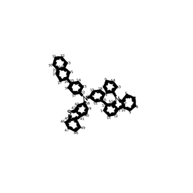 c1ccc(-n2c3ccccc3c3cccc(-c4cccc(N(c5ccc(-c6ccc7ccccc7c6)cc5)c5ccc6c(c5)sc5ccccc56)c4)c32)cc1